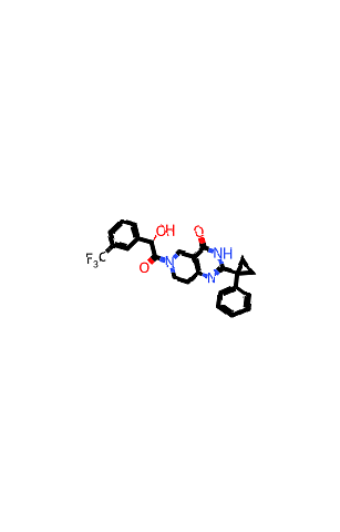 O=C([C@@H](O)c1cccc(C(F)(F)F)c1)N1CCc2nc(C3(c4ccccc4)CC3)[nH]c(=O)c2C1